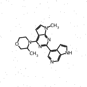 CC1COCCN1c1nc(-c2cncc3[nH]ccc23)nc2c1ccn2C